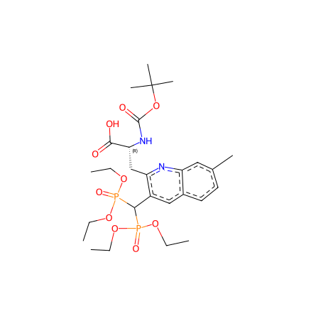 CCOP(=O)(OCC)C(c1cc2ccc(C)cc2nc1C[C@@H](NC(=O)OC(C)(C)C)C(=O)O)P(=O)(OCC)OCC